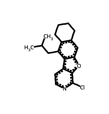 CC(C)Cc1c2c(cc3oc4c(Cl)nccc4c13)CCCC2